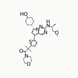 COC[C@H](C)Nc1ncc2c(-c3ccc(C(C)(C)C(=O)N4CCOCC4)s3)cc([C@H]3CC[C@H](O)CC3)n2n1